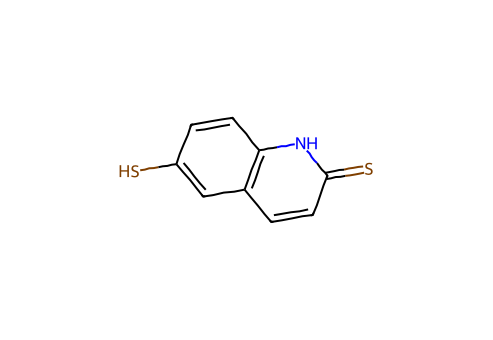 S=c1ccc2cc(S)ccc2[nH]1